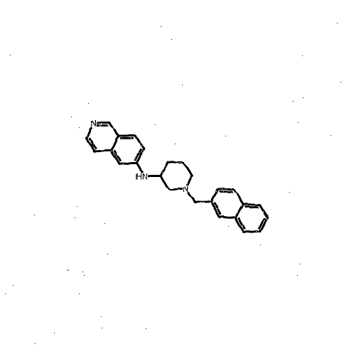 c1ccc2cc(CN3CCCC(Nc4ccc5cnccc5c4)C3)ccc2c1